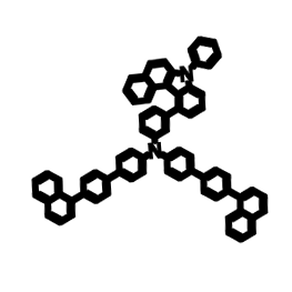 c1ccc(-n2c3cccc(-c4cccc(N(c5ccc(-c6ccc(-c7cccc8ccccc78)cc6)cc5)c5ccc(-c6ccc(-c7cccc8ccccc78)cc6)cc5)c4)c3c3c4ccccc4ccc32)cc1